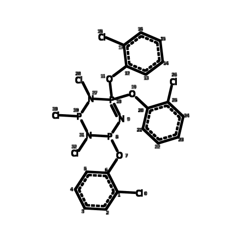 Clc1ccccc1OP1N=P(Oc2ccccc2Cl)(Oc2ccccc2Cl)N(Cl)P(Cl)N1Cl